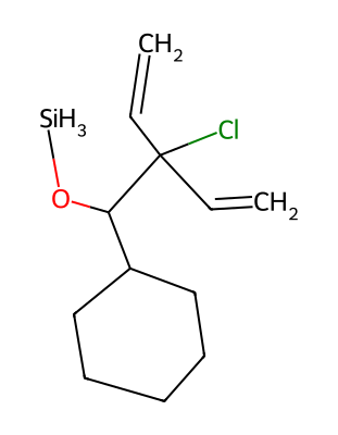 C=CC(Cl)(C=C)C(O[SiH3])C1CCCCC1